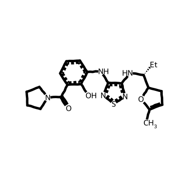 CC[C@@H](Nc1nsnc1Nc1cccc(C(=O)N2CCCC2)c1O)C1CC=C(C)O1